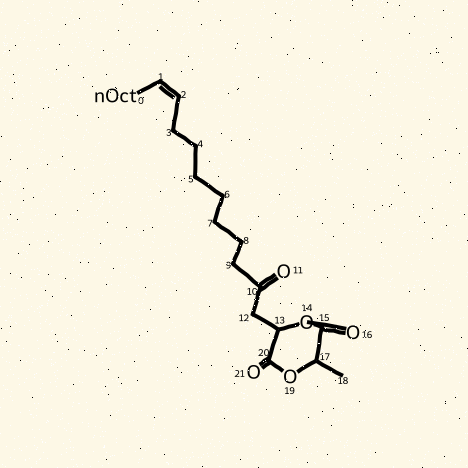 CCCCCCCC/C=C\CCCCCCCC(=O)CC1OC(=O)C(C)OC1=O